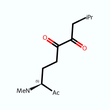 CN[C@@H](CCC(=O)C(=O)CC(C)C)C(C)=O